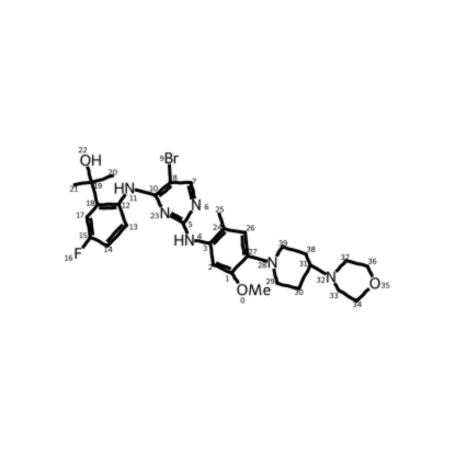 COc1cc(Nc2ncc(Br)c(Nc3ccc(F)cc3C(C)(C)O)n2)c(C)cc1N1CCC(N2CCOCC2)CC1